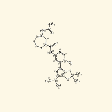 CC(=O)NC1=CCCC[C@H](C(=O)Nc2cc(-c3cc([C@@H](C)O)n4c3CC(C)(C)C4)c(Cl)cn2)C1